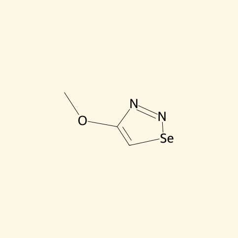 COc1c[se]nn1